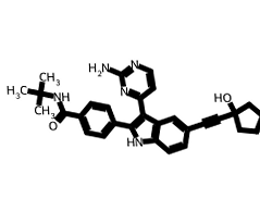 CC(C)(C)NC(=O)c1ccc(-c2[nH]c3ccc(C#CC4(O)CCCC4)cc3c2-c2ccnc(N)n2)cc1